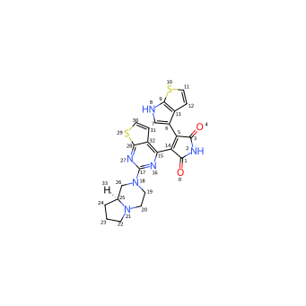 O=C1NC(=O)C(c2c[nH]c3sccc23)=C1c1nc(N2CCN3CCC[C@H]3C2)nc2sccc12